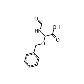 O=CNC(OCc1ccccc1)C(=O)O